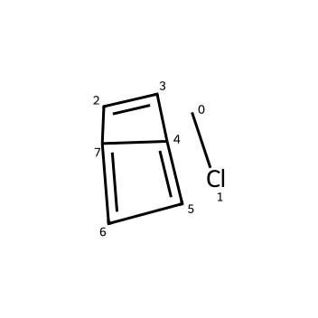 CCl.c1cc2ccc1-2